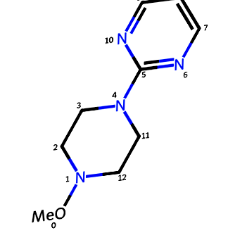 CON1CCN(c2ncccn2)CC1